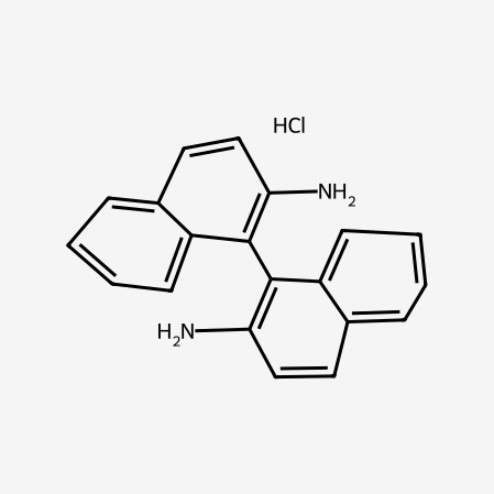 Cl.Nc1ccc2ccccc2c1-c1c(N)ccc2ccccc12